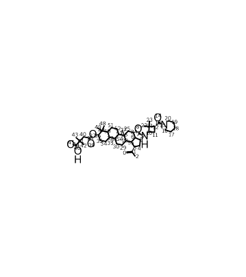 C=C(C)[C@@H]1CC[C@]2(C(=O)N[C@@H]3C[C@H](C(=O)N4CCCCC4)C3(C)C)CC[C@]3(C)C(CCC4[C@@]5(C)CC[C@H](OC(=O)CC(C)(C)C(=O)O)C(C)(C)C5CC[C@]43C)C12